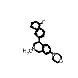 CN1Cc2cc(N3CCOCC3)ccc2C(c2ccc3c(F)cccc3c2)C1